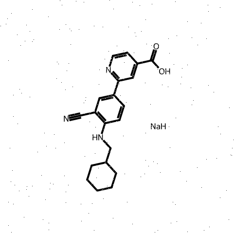 N#Cc1cc(-c2cc(C(=O)O)ccn2)ccc1NCC1CCCCC1.[NaH]